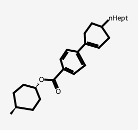 CCCCCCCC1CC=C(c2ccc(C(=O)O[C@H]3CC[C@H](C)CC3)cc2)CC1